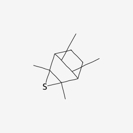 CC1C(C)C2CCC1C1(C)SC21C